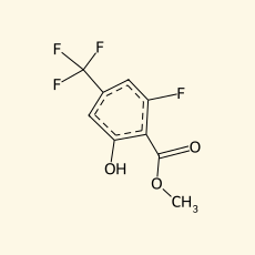 COC(=O)c1c(O)cc(C(F)(F)F)cc1F